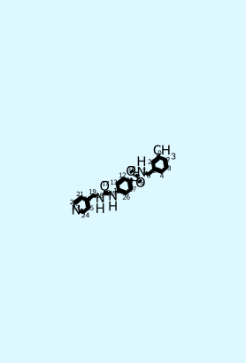 Cc1cccc(CNS(=O)(=O)c2ccc(NC(=O)NCc3ccncc3)cc2)c1